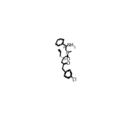 C=CC[C@@H](CC(=O)Cc1ccc(Cl)cc1)C(=O)N(C)C[C@H](N)c1ccccc1